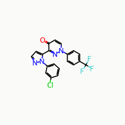 O=c1ccn(-c2ccc(C(F)(F)F)cc2)nc1-c1ccnn1-c1cccc(Cl)c1